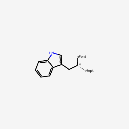 CCCCCCC[C@@H](CCCCC)Cc1c[nH]c2ccccc12